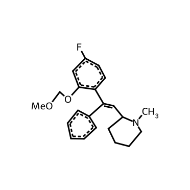 COCOc1cc(F)ccc1C(=CC1CCCCN1C)c1ccccc1